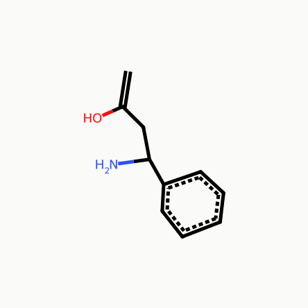 C=C(O)CC(N)c1ccccc1